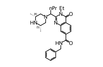 CCCC(c1nc2cc(C(=O)NCc3ccccc3)ccc2c(=O)n1CC)N1C[C@@H](C)N[C@@H](C)C1